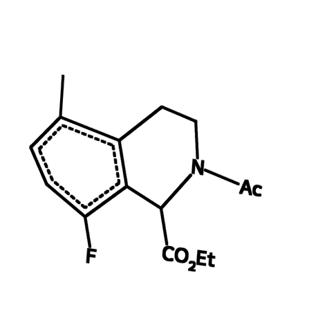 CCOC(=O)C1c2c(F)ccc(C)c2CCN1C(C)=O